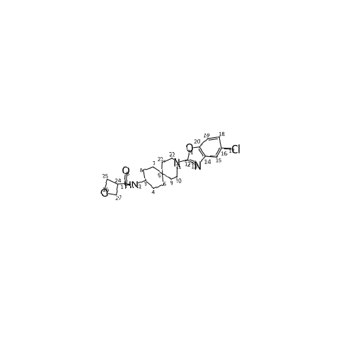 O=C(NC1CCC2(CC1)CCN(c1nc3cc(Cl)ccc3o1)CC2)C1COC1